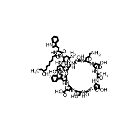 CCC(C)CCCCCCC(=O)NC(Cc1c[nH]c2ccccc12)C(=O)NC(CC(N)=O)C(=O)NC(CC(=O)O)C(=O)NC1C(=O)NCC(=O)NC(CCCN)C(=O)NC(CC(=O)O)C(=O)NC(C)C(=O)NC(CC(=O)O)C(=O)NCC(=O)NC(CO)C(=O)NC(CCC(=O)O)C(=O)NC(Cc2c[nH]c3ccccc23)C(=O)OC1C